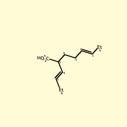 CCC=CCCC(C=CCC)C(=O)O